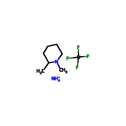 CC1CCCCN1C.F[B-](F)(F)F.[NH4+]